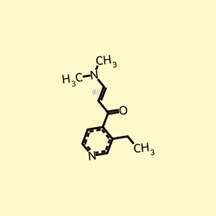 CCc1cnccc1C(=O)/C=C/N(C)C